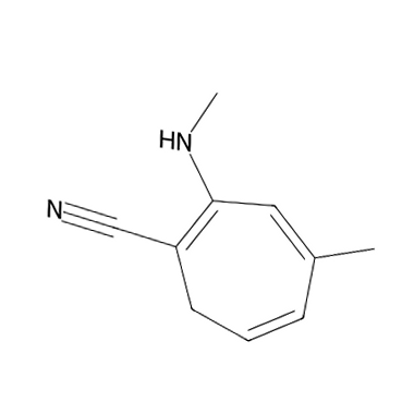 CNC1=C(C#N)CC=CC(C)=C1